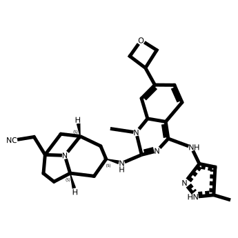 Cc1cc(NC2=C3C=CC(C4COC4)=CC3N(C)C(N[C@H]3C[C@@H]4CCC5(CC#N)C[C@H](C3)N45)=N2)n[nH]1